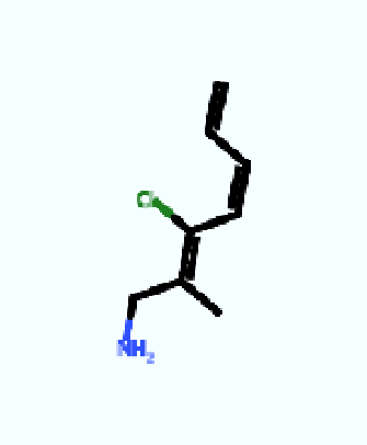 C=C/C=C\C(Cl)=C(/C)CN